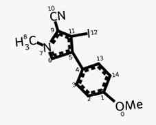 COc1ccc(-c2cn(C)c(C#N)c2I)cc1